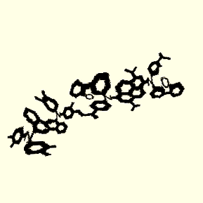 Cc1ccc(N(c2ccc(C)c(C)c2)c2cc3c4ccccc4c(N(c4ccc(C)c(C)c4)c4ccc(CCC(C)c5ccc(N(c6cc(C(C)C)c7ccc8c(N(c9ccc(C(C)C)cc9)c9cccc%10c9oc9ccccc9%10)cc(C(C)C)c9ccc6c7c98)c6cccc7c6oc6ccccc67)cc5)c(C)c4)cc3c3ccccc23)cc1C